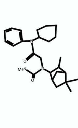 CNC(=O)N(CC(=O)N(c1ccccc1)C1CCCCC1)C1C2CC(C1C)C(C)(C)C2